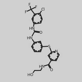 O=C(Nc1cccc(Sc2cc(C(=O)NCCO)ccn2)c1)Nc1ccc(Cl)c(C(F)(F)F)c1